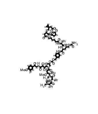 CC[C@H](C)C([C@@H](CC(=O)N1C[C@@H](OC(=O)OCc2ccc(NC(=O)C(CCCNC(N)=O)NC(=O)[C@@H](NC(=O)CCCCCN3C(=O)CC(SCC4(CC(=O)ON5C(=O)CCC5=O)CC4)C3=O)C(C)C)cc2)C[C@H]1[C@H](OC)[C@@H](C)C(=O)NCC(=O)c1ccc(OC)c(F)c1)OC)N(C)C(=O)[C@@H](NC(=O)[C@H](C(C)C)N(C)C)C(C)C